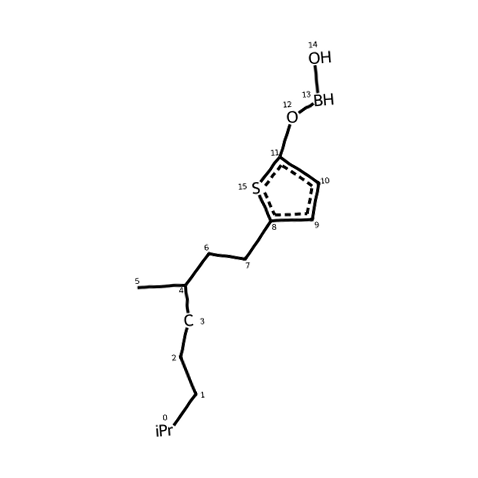 CC(C)CCCC(C)CCc1ccc(OBO)s1